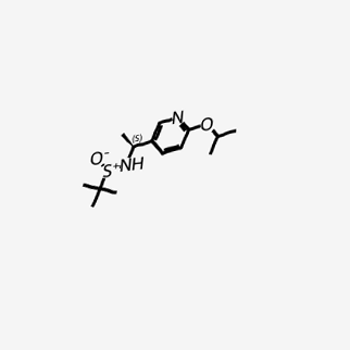 CC(C)Oc1ccc([C@H](C)N[S+]([O-])C(C)(C)C)cn1